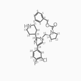 O=C(OCc1ccccc1)N1CCC[C@H]1Cn1cc(-c2ccc(F)c(Cl)c2)nc1C1CCNCC1